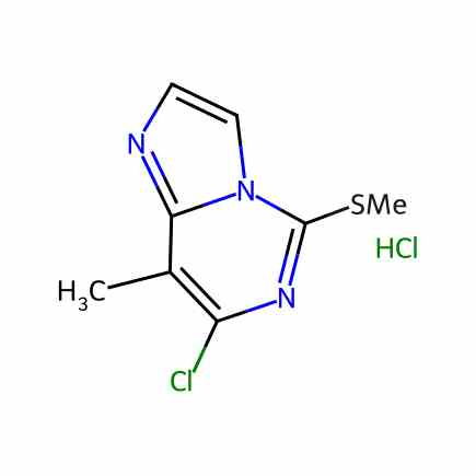 CSc1nc(Cl)c(C)c2nccn12.Cl